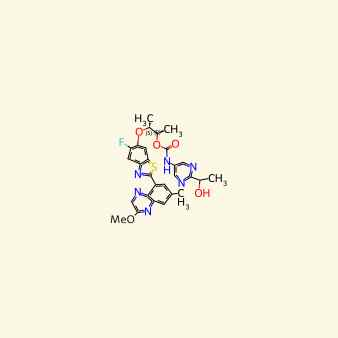 COc1cnc2c(-c3nc4cc(F)c(O[C@@H](C)[C@@H](C)OC(=O)Nc5cnc(C(C)O)nc5)cc4s3)cc(C)cc2n1